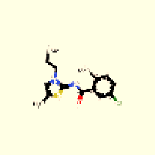 COCCn1cc(C)sc1=NC(=O)c1cc(Cl)ccc1OC